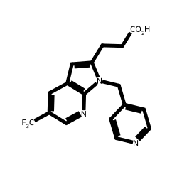 O=C(O)CCc1cc2cc(C(F)(F)F)cnc2n1Cc1ccncc1